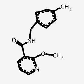 COc1ncccc1C(=O)NCc1ccc(C)cc1